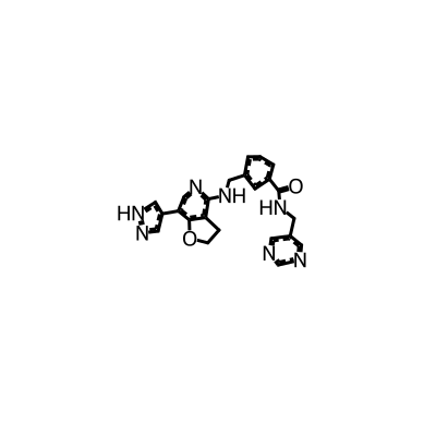 O=C(NCc1cncnc1)c1cccc(CNc2ncc(-c3cn[nH]c3)c3c2CCO3)c1